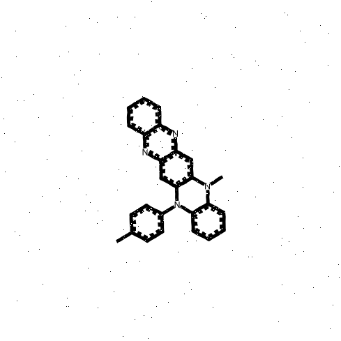 Cc1ccc(N2c3ccccc3N(C)c3cc4nc5ccccc5nc4cc32)cc1